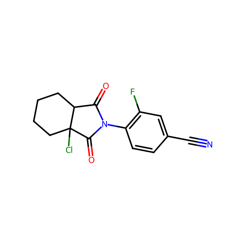 N#Cc1ccc(N2C(=O)C3CCCCC3(Cl)C2=O)c(F)c1